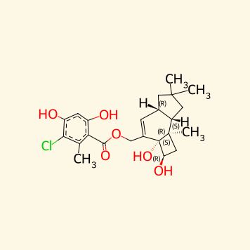 Cc1c(Cl)c(O)cc(O)c1C(=O)OCC1=C[C@@H]2CC(C)(C)C[C@@H]2[C@@]2(C)C[C@@H](O)[C@@]12O